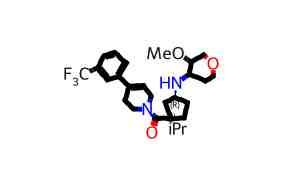 COC1COCCC1N[C@@H]1CC[C@@](C(=O)N2CC=C(c3cccc(C(F)(F)F)c3)CC2)(C(C)C)C1